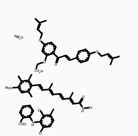 CC(C)=CCOc1ccc(/C=C/C(=O)c2ccc(OCC=C(C)C)cc2OCC(=O)O)cc1.CCNC(=O)/C=C(C)/C=C/C=C(C)/C=C/c1c(C)cc(OC)c(C)c1C.Cc1ccc(Cl)c(Nc2ccccc2C(=O)[O-])c1Cl.O.[Na+]